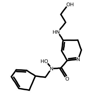 O=C(C1=NCCC(NCCO)=C1)N(O)CC1C=CC=CC1